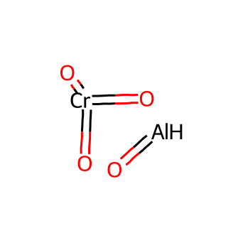 [O]=[AlH].[O]=[Cr](=[O])=[O]